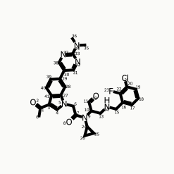 CC(=O)c1cn(CC(=O)N(C(C=O)CNCc2cccc(Cl)c2F)C2CC2)c2cc(-c3cnc(N(C)C)nc3)ccc12